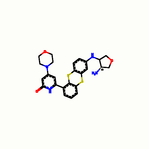 N[C@H]1COCC1Nc1ccc2c(c1)Sc1cccc(-c3cc(N4CCOCC4)cc(=O)[nH]3)c1S2